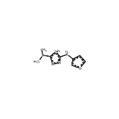 CN(C)c1nnc(Nc2ccoc2)[nH]1